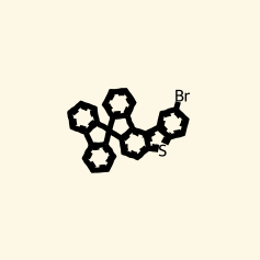 Brc1ccc2sc3ccc4c(c3c2c1)-c1ccccc1C41c2ccccc2-c2ccccc21